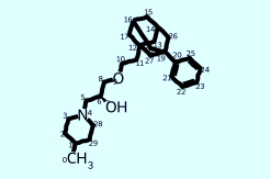 CC1CCN(C[C@H](O)COCCC23CC4CC(C2)CC(c2ccccc2)(C4)C3)CC1